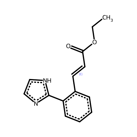 CCOC(=O)/C=C/c1ccccc1-c1ncc[nH]1